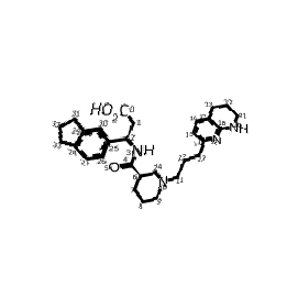 O=C(O)C[C@@H](NC(=O)[C@@H]1CCCN(CCCc2ccc3c(n2)NCCC3)C1)c1ccc2c(c1)CCC2